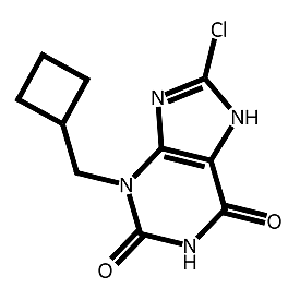 O=c1[nH]c(=O)n(CC2CCC2)c2nc(Cl)[nH]c12